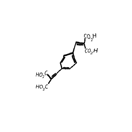 O=C(O)C(=Cc1ccc(C=C(C(=O)O)C(=O)O)cc1)C(=O)O